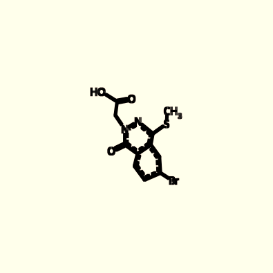 CSc1nn(CC(=O)O)c(=O)c2ccc(Br)cc12